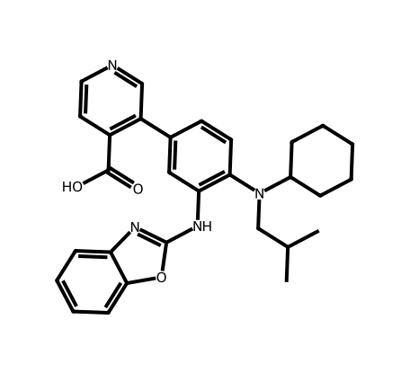 CC(C)CN(c1ccc(-c2cnccc2C(=O)O)cc1Nc1nc2ccccc2o1)C1CCCCC1